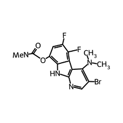 CNC(=O)Oc1cc(F)c(F)c2c1[nH]c1ncc(Br)c(N(C)C)c12